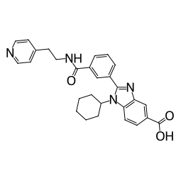 O=C(O)c1ccc2c(c1)nc(-c1cccc(C(=O)NCCc3ccncc3)c1)n2C1CCCCC1